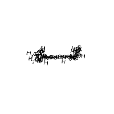 Cc1sc2c(c1C)C(c1ccc(Cl)cc1)=N[C@@H](CC(=O)NCCOCCOCCOCCNCCCC(=O)Nc1cccc3c1CN(C1CCC(=O)NC1=O)C3O)c1nnc(C)n1-2